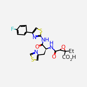 CCC1(C(=O)O)OC1C(=O)N[C@@H](Cc1cscn1)C(=O)Nc1nc(-c2ccc(F)cc2)cs1